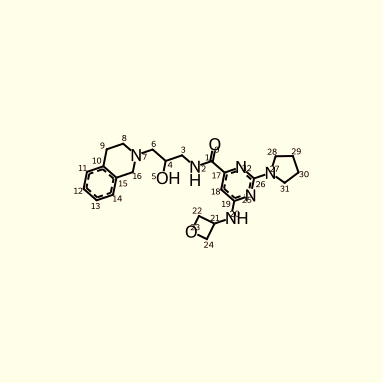 O=C(NCC(O)CN1CCc2ccccc2C1)c1cc(NC2COC2)nc(N2CCCC2)n1